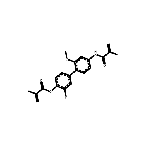 C=C(C)C(=O)Nc1ccc(-c2ccc(OC(=O)C(=C)C)c(F)c2)c(OC)c1